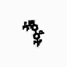 COc1cc(C(F)(F)F)ccc1-c1ccc2nnc(C(F)(F)F)n2c1